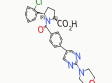 O=C(O)[C@@H]1CC[C@H](c2ccccc2Cl)N1C(=O)c1ccc(-c2cnc(N3CCOCC3)nc2)cc1